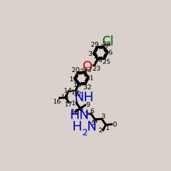 CC(C)CC(N)CNC(C)(C)CN[C@@H](CC(C)C)c1ccc(OCc2ccc(Cl)cc2)cc1